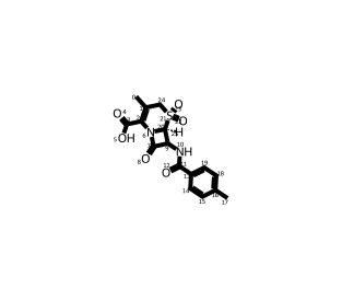 CC1=C(C(=O)O)N2C(=O)C(NC(=O)c3ccc(C)cc3)[C@@H]2S(=O)(=O)C1